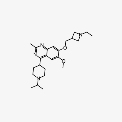 CCN1CC(COc2cc3nc(C)nc(C4CCN(C(C)C)CC4)c3cc2OC)C1